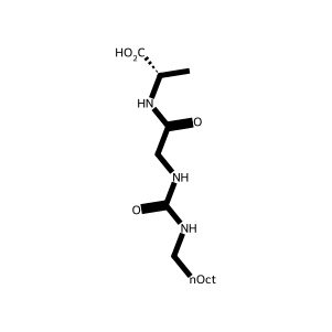 CCCCCCCCCNC(=O)NCC(=O)N[C@@H](C)C(=O)O